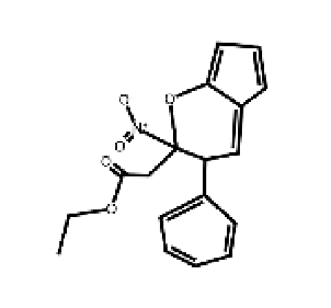 CCOC(=O)CC1([N+](=O)[O-])OC2=CC=CC2=CC1c1ccccc1